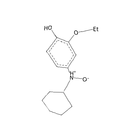 CCOc1cc([NH+]([O-])C2CCCCC2)ccc1O